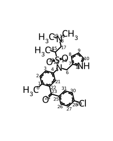 Cc1ccc(N(Cc2ccc[nH]2)S(=O)(=O)C(C)CN(C)C)cc1C(=O)c1ccc(Cl)cc1